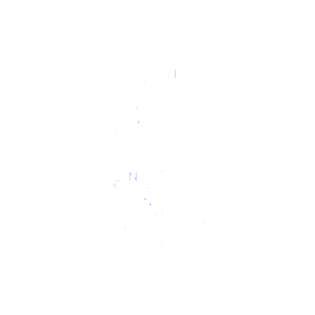 COCOc1ccc(N(F)C(=O)N2CCCCc3ccccc32)cc1